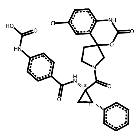 O=C(O)Nc1ccc(C(=O)N[C@@]2(C(=O)N3CCC4(C3)OC(=O)Nc3ccc(Cl)cc34)C[C@H]2c2ccccc2)cc1